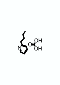 CCCCc1ccccn1.O=C(O)O